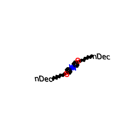 CCCCCCCCCCCCCCCCCCOc1ccc(/N=N/c2ccc(OCCCCCCCCCCCCCCCCCC)cc2)cc1